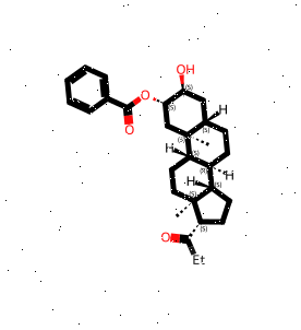 CCC(=O)[C@H]1CC[C@H]2[C@@H]3CC[C@H]4C[C@H](O)[C@@H](OC(=O)c5ccccc5)C[C@]4(C)[C@H]3CC[C@]12C